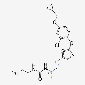 COCCNC(=O)N[C@@H](C)/C=C/c1cnc(Oc2ccc(OCC3CC3)cc2Cl)s1